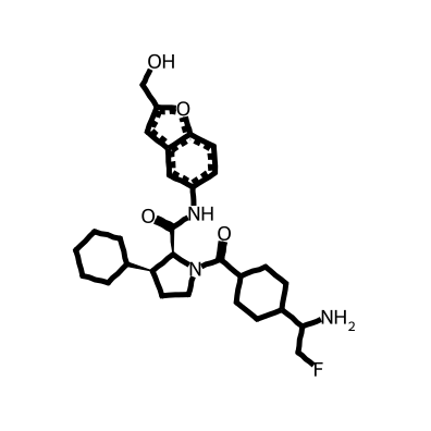 NC(CF)C1CCC(C(=O)N2CC[C@@H](C3CCCCC3)[C@H]2C(=O)Nc2ccc3oc(CO)cc3c2)CC1